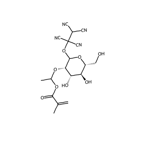 C=C(C)C(=O)OC(C)O[C@@H]1C(OC(C#N)(C#N)C(C#N)C#N)O[C@H](CO)[C@@H](O)[C@@H]1O